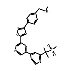 CNCc1ccc(-c2cc(-c3cncc(-c4ccnc(C(C)(C)S(C)(=O)=O)c4)n3)on2)cc1